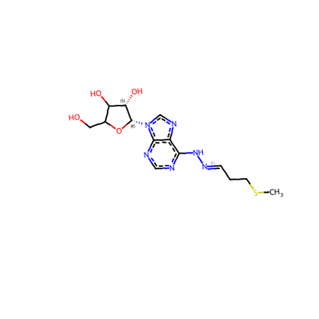 CSCC/C=N/Nc1ncnc2c1ncn2[C@@H]1OC(CO)C(O)[C@@H]1O